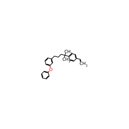 C=Cc1ccc(C(C)(C)CCCc2cccc(Oc3ccccc3)c2)cc1